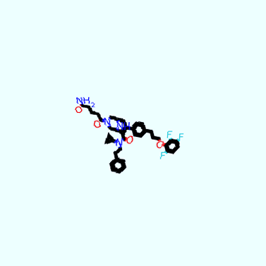 NC(=O)CCCC(=O)N1CC2CC(c3ccc(CCCOc4c(F)ccc(F)c4F)cc3)=C(C(=O)N(CCc3ccccc3)C3CC3)C(C1)N2